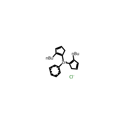 CCCCC1=[C]([Zr+]([C]2=C(CCCC)C=CC2)[c]2ccccc2)CC=C1.[Cl-]